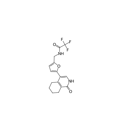 O=C(NCc1ccc(-c2c[nH]c(=O)c3c2CCCC3)o1)C(F)(F)F